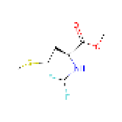 COC(=O)[C@H](CCSC)NC(F)F